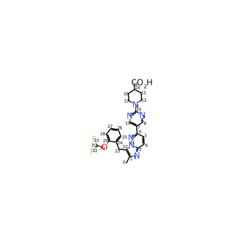 Cc1nc2ccc(-c3cnc(N4CCC(C(=O)O)CC4)nc3)nn2c1Cc1ccccc1OC(F)F